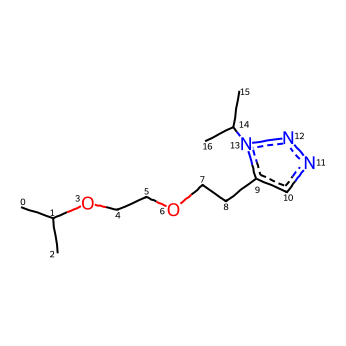 CC(C)OCCOCCc1cnnn1C(C)C